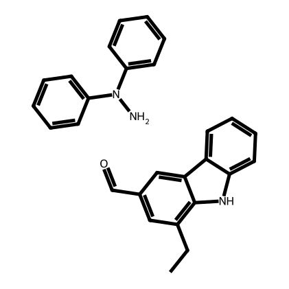 CCc1cc(C=O)cc2c1[nH]c1ccccc12.NN(c1ccccc1)c1ccccc1